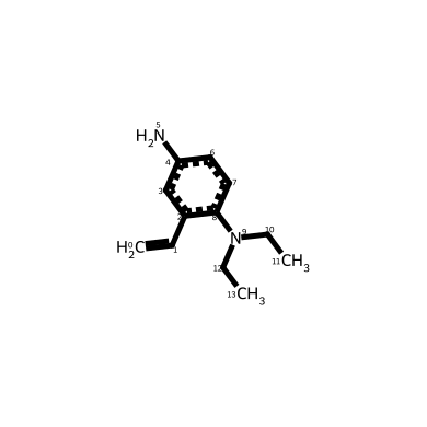 C=Cc1cc(N)ccc1N(CC)CC